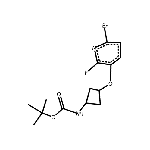 CC(C)(C)OC(=O)NC1CC(Oc2ccc(Br)nc2F)C1